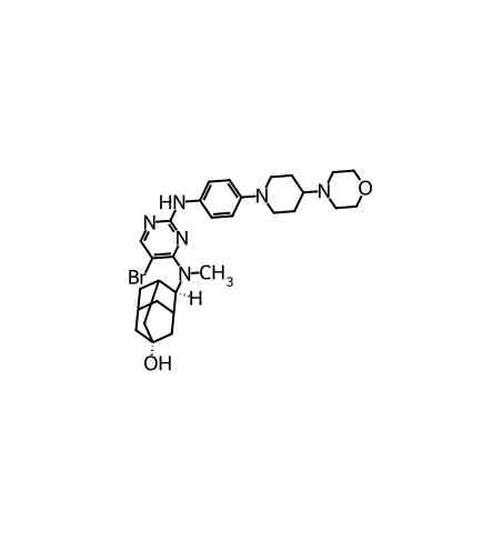 CN(c1nc(Nc2ccc(N3CCC(N4CCOCC4)CC3)cc2)ncc1Br)[C@H]1C2CC3CC1C[C@](O)(C3)C2